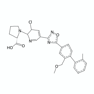 COCc1cc(-c2nc(C3=CC(Cl)C(N4CCC[C@H]4C(=O)O)N=C3)no2)ccc1-c1ccccc1C